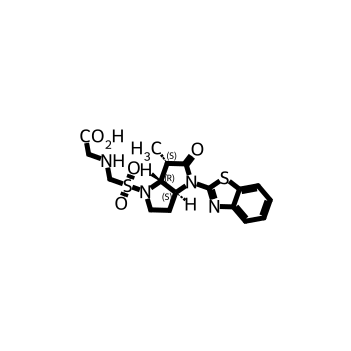 C[C@@H]1C(=O)N(c2nc3ccccc3s2)[C@H]2CCN(S(=O)(=O)CNCC(=O)O)[C@H]12